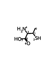 CC(S)[C@H](N)C(=O)O